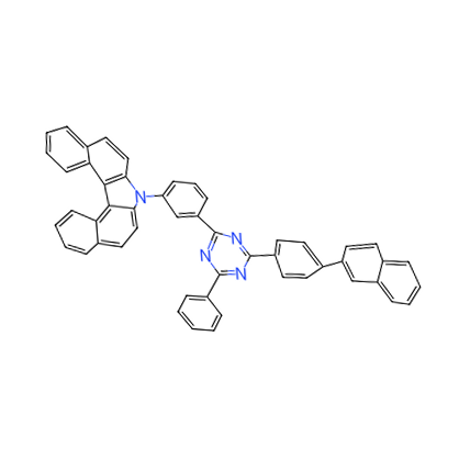 c1ccc(-c2nc(-c3ccc(-c4ccc5ccccc5c4)cc3)nc(-c3cccc(-n4c5ccc6ccccc6c5c5c6ccccc6ccc54)c3)n2)cc1